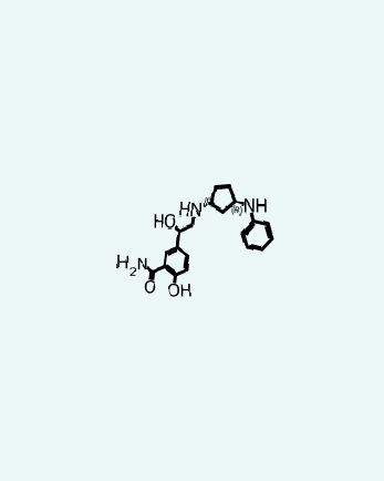 NC(=O)c1cc(C(O)CN[C@@H]2CC[C@@H](Nc3ccccc3)C2)ccc1O